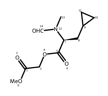 COC(=O)COC(=O)[C@H](CC1CC1)N(C)C=O